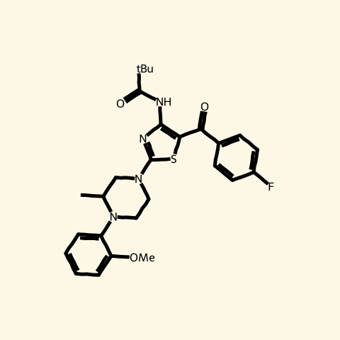 COc1ccccc1N1CCN(c2nc(NC(=O)C(C)(C)C)c(C(=O)c3ccc(F)cc3)s2)CC1C